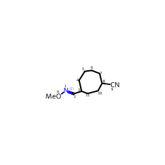 CO/N=C/C1CCCCC(C#N)CC1